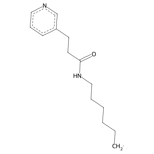 [CH2]CCCCCNC(=O)CCc1cccnc1